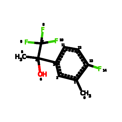 Cc1cc(C(C)(O)C(F)(F)F)ccc1F